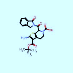 CC(C)(C)OC(=O)c1c(N)sc2c1CCN(C(=O)O)C2C(=O)N1Cc2ccccc2C1=O